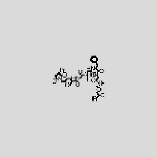 CC(C)C(=O)COCNC(=O)CNC(=O)C(Cc1ccccc1)NC(=O)CNC(=O)CNC(=O)C1CCC(CN2C(=O)CC(C(C)C)C2=O)OC1